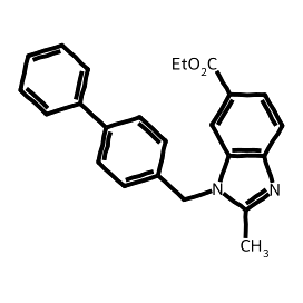 CCOC(=O)c1ccc2nc(C)n(Cc3ccc(-c4ccccc4)cc3)c2c1